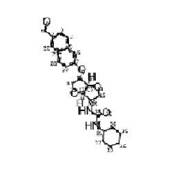 O=[C]c1ccc2cc(O[C@H]3CO[C@H]4[C@@H]3OC[C@@H]4NC(=O)NC3CCCCC3)ccc2c1